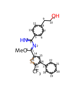 CO/C(=N\C(=N)c1ccc(CCO)cc1)c1cc(-c2ccccc2)c(C(F)(F)F)s1